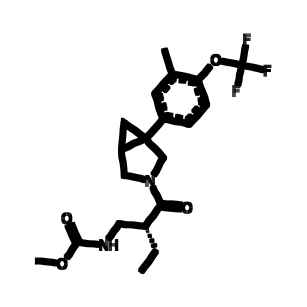 CC[C@H](CNC(=O)OC)C(=O)N1CC2CC2(c2ccc(OC(F)(F)F)c(C)c2)C1